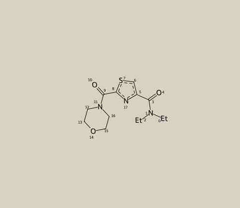 CCN(CC)C(=O)c1csc(C(=O)N2CCOCC2)n1